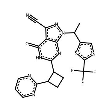 CC(c1cnc(C(F)(F)F)s1)n1nc(C#N)c2c(=O)[nH]c(C3CCC3c3ncccn3)nc21